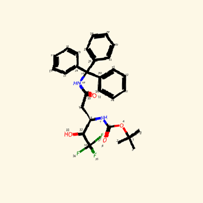 CC(C)(C)OC(=O)N[C@H](CC(=O)NC(c1ccccc1)(c1ccccc1)c1ccccc1)C(O)C(F)(F)F